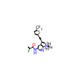 [2H]C([2H])([2H])n1cc(C#Cc2ccc(C(F)(F)F)s2)c2cc(NC(=O)C(=C)F)cnc21